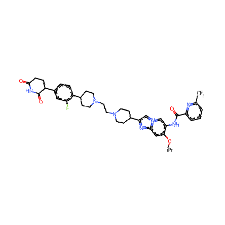 CC(C)Oc1cc2nc(C3CCN(CCN4CCC(c5ccc(C6CCC(=O)NC6=O)cc5F)CC4)CC3)cn2cc1NC(=O)c1cccc(C(F)(F)F)n1